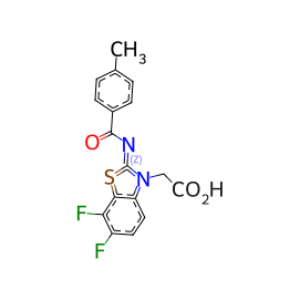 Cc1ccc(C(=O)/N=c2\sc3c(F)c(F)ccc3n2CC(=O)O)cc1